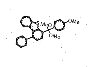 COc1ccc(C(OC)(OC)c2ccc(-c3ccccc3)c3c2sc2ccccc23)cc1